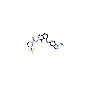 Cn1ncc2cc(Nc3cccc4ccn(CC(=O)N5CCCC(C(F)(F)F)C5)c(=O)c34)ccc21